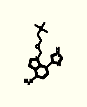 Bc1ccc(-c2c[nH]cn2)c2c1ccn2COCC[Si](C)(C)C